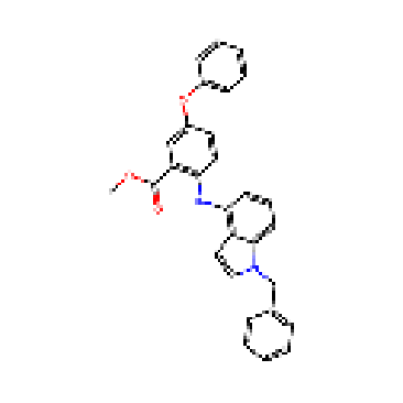 COC(=O)c1cc(Oc2ccccc2)ccc1Nc1cccc2c1ccn2Cc1ccccc1